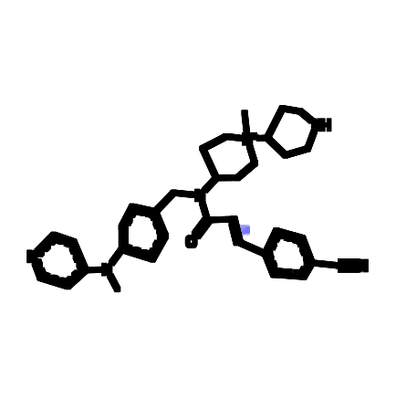 CN(c1ccncc1)c1ccc(CN(C(=O)/C=C/c2ccc(C#N)cc2)C2CC[N+](C)(C3CCNCC3)CC2)cc1